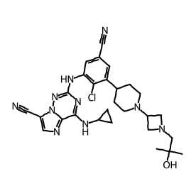 CC(C)(O)CN1CC(N2CCC(c3cc(C#N)cc(Nc4nc(NC5CC5)c5ncc(C#N)n5n4)c3Cl)CC2)C1